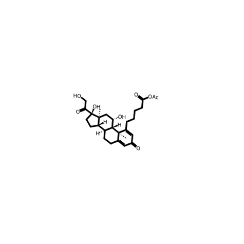 CC(=O)OC(=O)CCCCC1=CC(=O)C=C2CC[C@@H]3[C@H]([C@@H](O)C[C@@]4(C)[C@H]3CC[C@]4(O)C(=O)CO)[C@@]12C